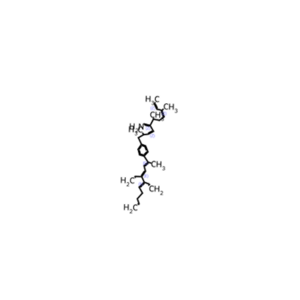 C=CCC/C=C(C=C)/C(C=C)=C/C=C(\C)c1ccc(CC(C)/C=C\C(=C/N)C(C)C/C=C(C)\C=C/C)cc1